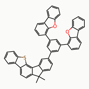 CC1(C)c2ccc(-c3cc(-c4cccc5c4oc4ccccc45)cc(-c4cccc5c4oc4ccccc45)c3)cc2-c2c1ccc1c2sc2ccccc21